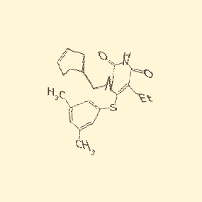 CCc1c(Sc2cc(C)cc(C)c2)n(CC2CC=CC2)c(=O)[nH]c1=O